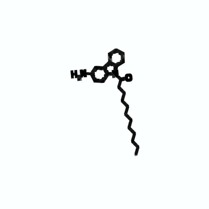 CCCCCCCCCCCC(=O)n1c2ccccc2c2cc(N)ccc21